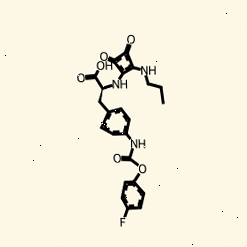 CCCNc1c(N[C@@H](Cc2ccc(NC(=O)Oc3ccc(F)cc3)cc2)C(=O)O)c(=O)c1=O